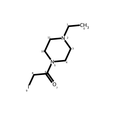 CCN1CCN(C(=O)CI)CC1